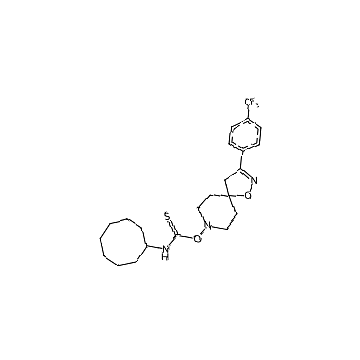 FC(F)(F)c1ccc(C2=NOC3(CCN(OC(=S)NC4CCCCCCC4)CC3)C2)cc1